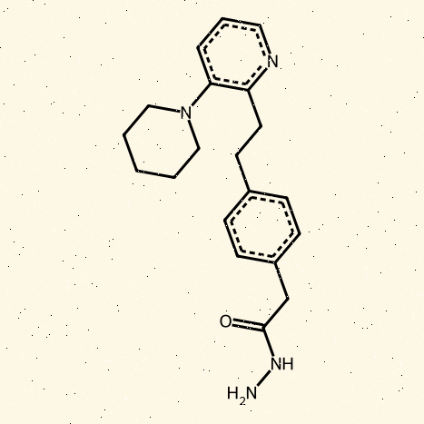 NNC(=O)Cc1ccc(CCc2ncccc2N2CCCCC2)cc1